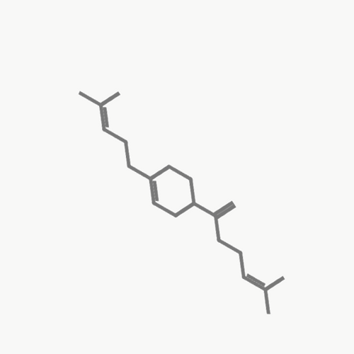 C=C(CCC=C(C)C)C1CC=C(CCC=C(C)C)CC1